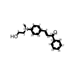 CN(CCO)c1ccc(C=CC(=O)c2ccccc2)cc1